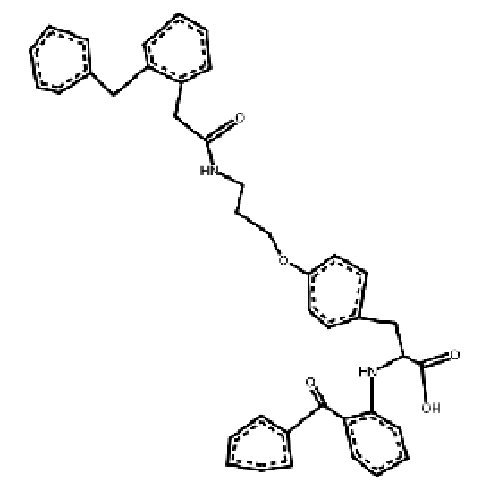 O=C(Cc1ccccc1Cc1ccccc1)NCCCOc1ccc(CC(Nc2ccccc2C(=O)c2ccccc2)C(=O)O)cc1